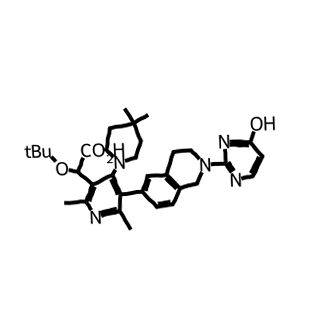 Cc1nc(C)c(C(OC(C)(C)C)C(=O)O)c(N2CCC(C)(C)CC2)c1-c1ccc2c(c1)CCN(c1nccc(O)n1)C2